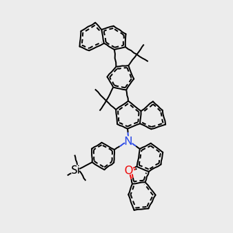 CC1(C)c2cc3c(cc2-c2c1ccc1ccccc21)C(C)(C)c1cc(N(c2ccc([Si](C)(C)C)cc2)c2cccc4c2oc2ccccc24)c2ccccc2c1-3